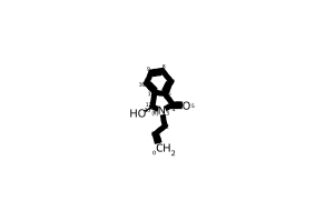 C=CCN1C(=O)c2ccccc2[C@H]1O